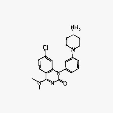 CN(C)c1nc(=O)n(-c2cccc(N3CCC(N)CC3)c2)c2cc(Cl)ccc12